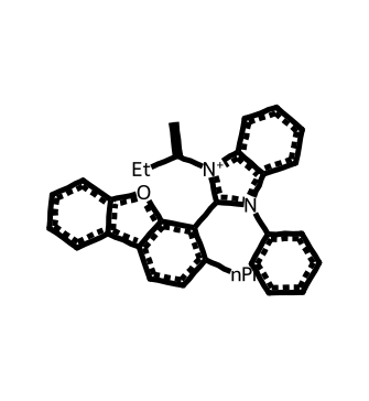 C=C(CC)[n+]1c(-c2c(CCC)ccc3c2oc2ccccc23)n(-c2ccccc2)c2ccccc21